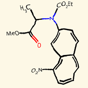 CCOC(=O)N(c1ccc2cccc([N+](=O)[O-])c2c1)C(C)C(=O)OC